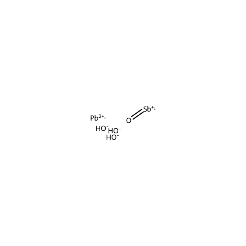 [OH-].[OH-].[OH-].[O]=[Sb+].[Pb+2]